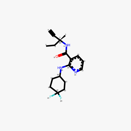 C#C[C@@](C)(CC)NC(=O)c1cccnc1NC1CCC(F)(F)CC1